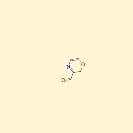 O=CC1=NC=COC1